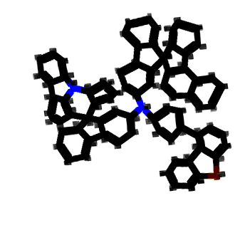 c1ccc2c(c1)-c1ccc(N(c3ccc(-c4cccc5sc6ccccc6c45)cc3)c3ccc4c(c3)C3(c5ccccc5-4)c4ccccc4-n4c5ccccc5c5cccc3c54)cc1C21c2ccccc2-c2c1ccc1ccccc21